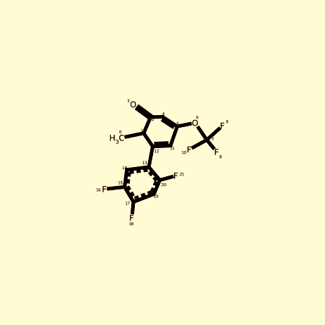 CC1C(=O)C=C(OC(F)(F)F)C=C1c1cc(F)c(F)cc1F